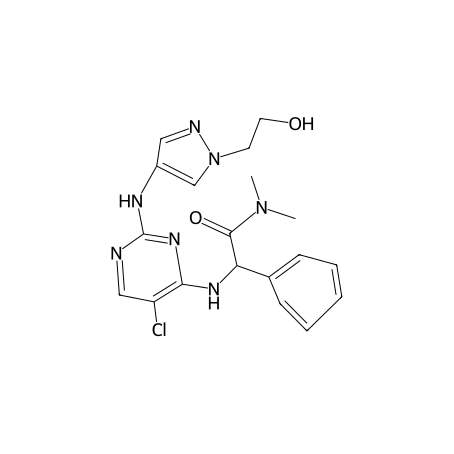 CN(C)C(=O)C(Nc1nc(Nc2cnn(CCO)c2)ncc1Cl)c1ccccc1